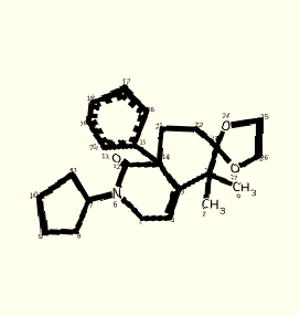 CC1(C)C2=CCN(C3CCCC3)C(=O)C2(c2ccccc2)CCC12OCCO2